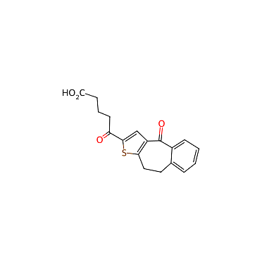 O=C(O)CCCC(=O)c1cc2c(s1)CCc1ccccc1C2=O